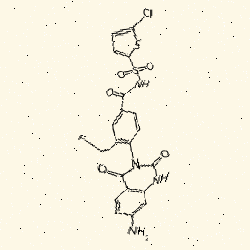 Nc1ccc2c(=O)n(-c3ccc(C(=O)NS(=O)(=O)c4ccc(Cl)s4)cc3CF)c(=O)[nH]c2c1